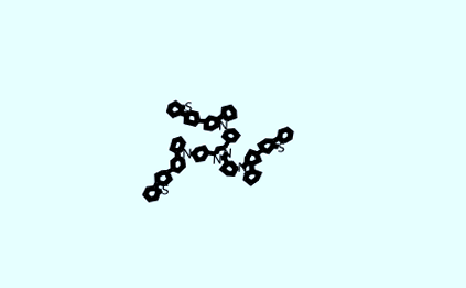 c1cc(-c2cc(-c3ccc(-n4c5ccccc5c5cc(-c6ccc7c(c6)sc6ccccc67)ccc54)cc3)nc(-c3cccc(-n4c5ccccc5c5cc(-c6ccc7c(c6)sc6ccccc67)ccc54)c3)n2)cc(-n2c3ccccc3c3cc(-c4ccc5c(c4)sc4ccccc45)ccc32)c1